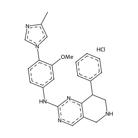 COc1cc(Nc2ncc3c(n2)C(c2ccccc2)CNC3)ccc1-n1cnc(C)c1.Cl